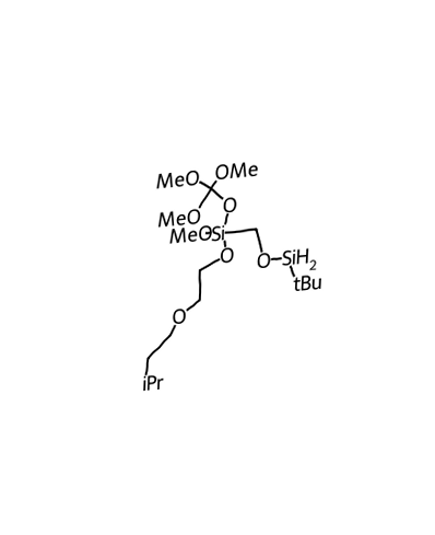 COC(OC)(OC)O[Si](CO[SiH2]C(C)(C)C)(OC)OCCOCCC(C)C